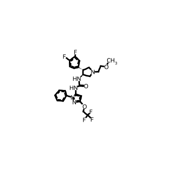 COCCN1C[C@@H](NC(=O)Nc2cc(OCC(F)(F)F)nn2-c2ccccc2)[C@H](c2ccc(F)c(F)c2)C1